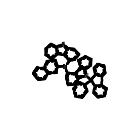 c1ccc(C2(n3c4ccccc4c4c(N(c5ccc6ccccc6c5)c5cccc6sc7ccccc7c56)cccc43)c3ccccc3-c3ccccc32)cc1